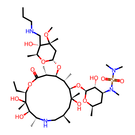 CCCNC[C@]1(O)[C@H](C)O[C@@H](O[C@H]2[C@H](C)[C@@H](O[C@@H]3O[C@H](C)C[C@H](N(C)S(=O)(=O)N(C)C)[C@H]3O)[C@](C)(O)C[C@@H](C)CN[C@H](C)[C@@H](O)[C@](C)(O)[C@@H](CC)OC(=O)[C@@H]2C)C[C@@]1(C)OC